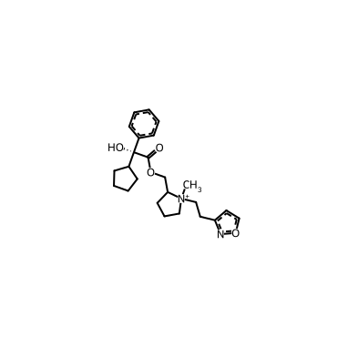 C[N+]1(CCc2ccon2)CCCC1COC(=O)[C@](O)(c1ccccc1)C1CCCC1